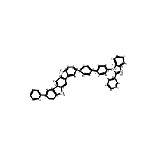 c1ccc(-c2ccc3oc4cc5c(cc4c3c2)oc2ccc(-c3ccc(-c4ccc(-n6c(-c7ccccc7)nc7ccccc76)cc4)cc3)cc25)cc1